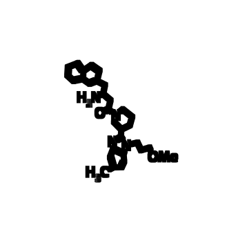 COCCCn1c(C2CCCN(C(=O)CC(N)Cc3ccc4ccccc4c3)C2)nc2cc(C)ccc21